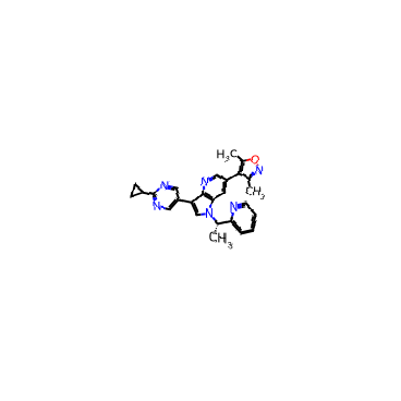 Cc1noc(C)c1-c1cnc2c(-c3cnc(C4CC4)nc3)cn([C@@H](C)c3ccccn3)c2c1